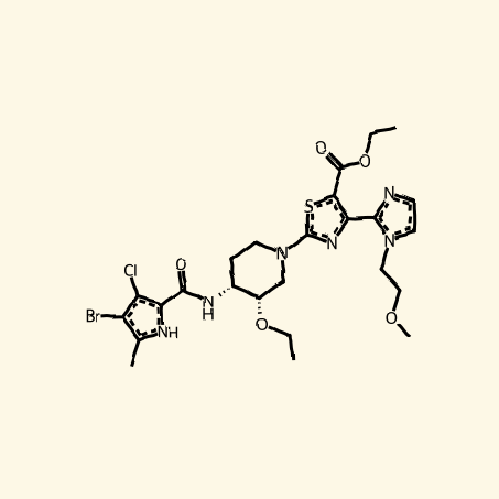 CCOC(=O)c1sc(N2CC[C@@H](NC(=O)c3[nH]c(C)c(Br)c3Cl)[C@@H](OCC)C2)nc1-c1nccn1CCOC